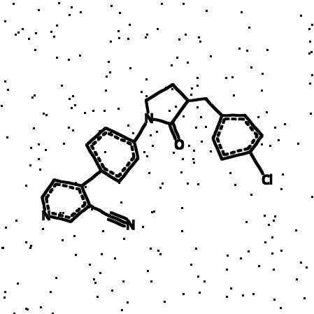 N#Cc1cnccc1-c1ccc(N2CCC(Cc3ccc(Cl)cc3)C2=O)cc1